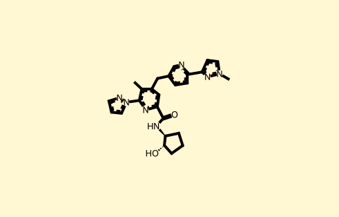 Cc1c(Cc2ccc(-c3ccn(C)n3)nc2)cc(C(=O)N[C@H]2CCC[C@@H]2O)nc1-n1cccn1